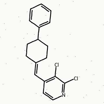 Clc1nccc(C=C2CCC(c3ccccc3)CC2)c1Cl